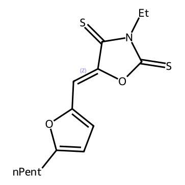 CCCCCc1ccc(/C=C2\OC(=S)N(CC)C2=S)o1